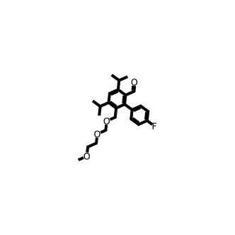 COCCOCOCc1c(C(C)C)cc(C(C)C)c(C=O)c1-c1ccc(F)cc1